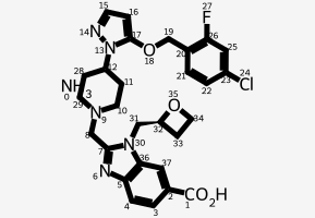 N.O=C(O)c1ccc2nc(CN3CCC(n4nccc4OCc4ccc(Cl)cc4F)CC3)n(C[C@@H]3CCO3)c2c1